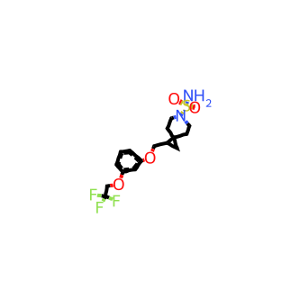 NS(=O)(=O)N1CCC2(CC1)CC2COc1cccc(OCC(F)(F)F)c1